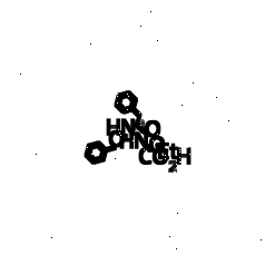 CCOC(NC(=O)[C@H](Cc1ccccc1)NCOCc1ccccc1)C(=O)O